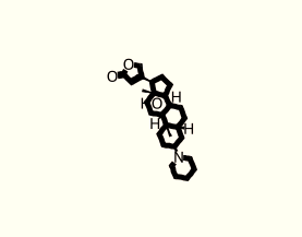 C[C@]12CC[C@H](N3CCCCC3)C[C@H]1CC[C@@H]1[C@@H]2CC[C@]2(C)[C@@H](C3=CC(=O)OC3)CC[C@]12O